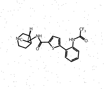 O=C(N[C@H]1CN2CCC1CC2)c1ccc(-c2ccccc2NC(=O)C(F)(F)F)s1